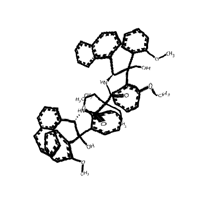 CCC(CC)(C(=O)N[C@@H](c1cccc2ccccc12)C(O)(c1ccccc1OC)c1ccccc1OC)C(=O)N[C@@H](c1cccc2ccccc12)C(O)(c1ccccc1OC)c1ccccc1OC